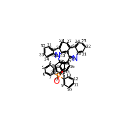 O=P(c1ccccc1)(c1ccccc1)c1ccc(-c2nc3ccccc3c3ccc4c5ccccc5n(-c5ccccc5)c4c23)cc1